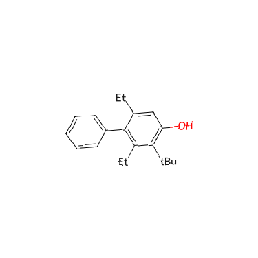 CCc1cc(O)c(C(C)(C)C)c(CC)c1-c1ccccc1